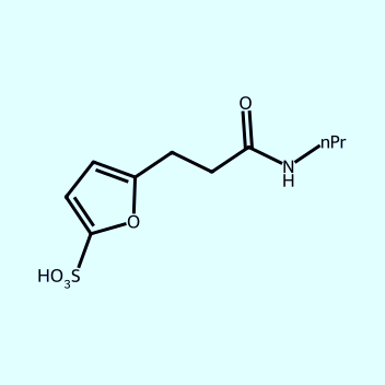 CCCNC(=O)CCc1ccc(S(=O)(=O)O)o1